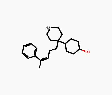 CC(=CCCC1(C2CCC(O)CC2)CC[SiH2]CC1)c1ccccc1